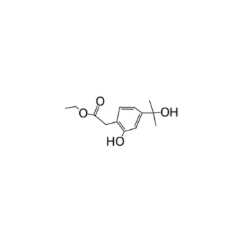 CCOC(=O)Cc1ccc(C(C)(C)O)cc1O